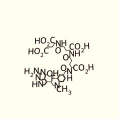 CN(CCc1c[nH]c2nc(N)nc(O)c12)c1ccc(C(=O)N[C@@H](CCC(=O)N[C@@H](CCC(=O)N[C@@H](CCC(=O)O)C(=O)O)C(=O)O)C(=O)O)cc1F